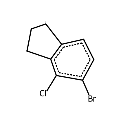 Clc1c(Br)ccc2c1CC[CH]2